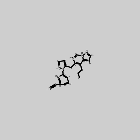 CCCc1c(Cc2ccnn2-c2cccc(C#N)n2)ncn2ncnc12